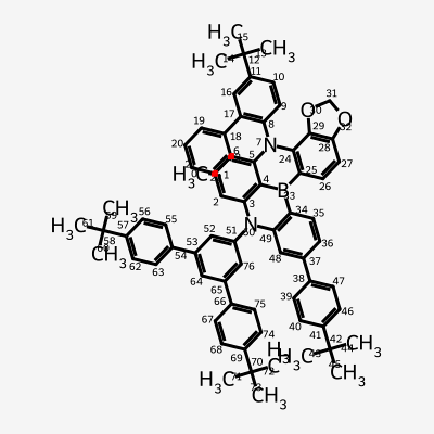 Cc1cc2c3c(c1)N(c1ccc(C(C)(C)C)cc1-c1ccccc1)c1c(ccc4c1OCO4)B3c1ccc(-c3ccc(C(C)(C)C)cc3)cc1N2c1cc(-c2ccc(C(C)(C)C)cc2)cc(-c2ccc(C(C)(C)C)cc2)c1